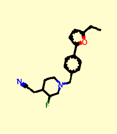 CCc1ccc(-c2ccc(CN3CCC(CC#N)C(F)C3)cc2)o1